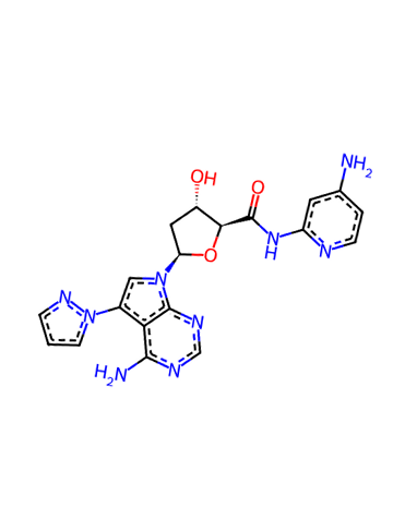 Nc1ccnc(NC(=O)[C@H]2O[C@@H](n3cc(-n4cccn4)c4c(N)ncnc43)C[C@@H]2O)c1